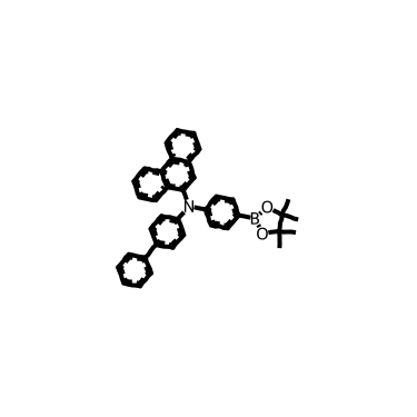 CC1(C)OB(c2ccc(N(c3ccc(-c4ccccc4)cc3)c3cc4ccccc4c4ccccc34)cc2)OC1(C)C